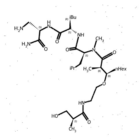 CCCCCC[C@@H](OCCNC(=O)[C@@H](C)CO)[C@@H](C)C(=O)N(C)[C@@H](CC(C)C)C(=O)N[C@H](C(=O)N[C@@H](CN)C(N)=O)[C@H](C)CC